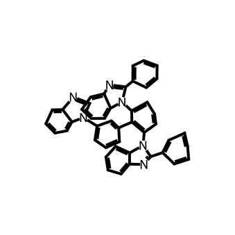 c1ccc(-c2nc3ccccc3n2-c2cccc(-n3c(-c4ccccc4)nc4ccccc43)c2-c2cccc(-n3cnc4ccccc43)c2)cc1